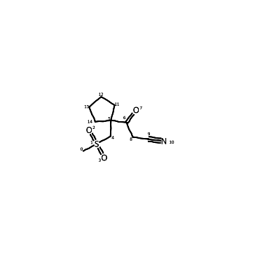 CS(=O)(=O)CC1(C(=O)CC#N)CCCC1